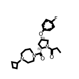 CCC(=O)N1C[C@@H](Oc2ccc(F)cc2)C[C@H]1C(=O)N1CCCN(C2CCC2)CC1